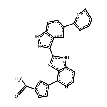 CC(=O)c1ccc(-c2nccc3[nH]c(-c4n[nH]c5ccc(-c6ccccn6)cc45)nc23)s1